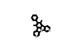 Cc1c(-c2ccccc2)c(C)c2c3ccncc3n3c4cnccc4c1c23